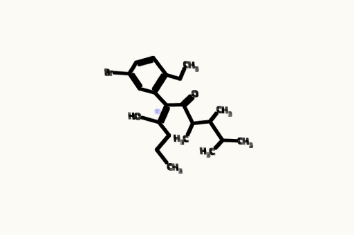 CCC/C(O)=C(\C(=O)C(C)C(C)C(C)C)c1cc(Br)ccc1CC